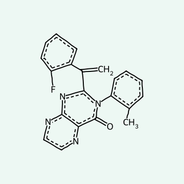 C=C(c1ccccc1F)c1nc2nccnc2c(=O)n1-c1ccccc1C